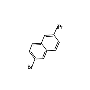 CC(C)c1ccc2cc(Br)ccc2c1